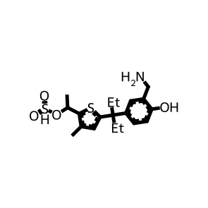 CCC(CC)(c1ccc(O)c(CN)c1)c1cc(C)c(C(C)O[SH](=O)=O)s1